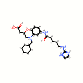 O=C(O)CC1CN(CC2CCCCC2)c2cc(NC(=O)CCCCNc3ncc[nH]3)ccc2O1